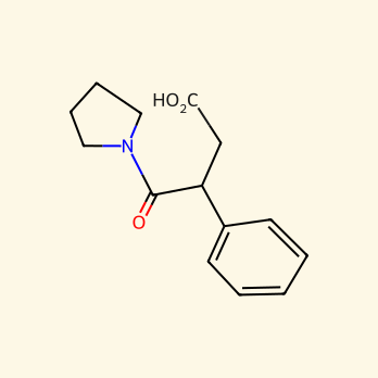 O=C(O)CC(C(=O)N1CCCC1)c1ccccc1